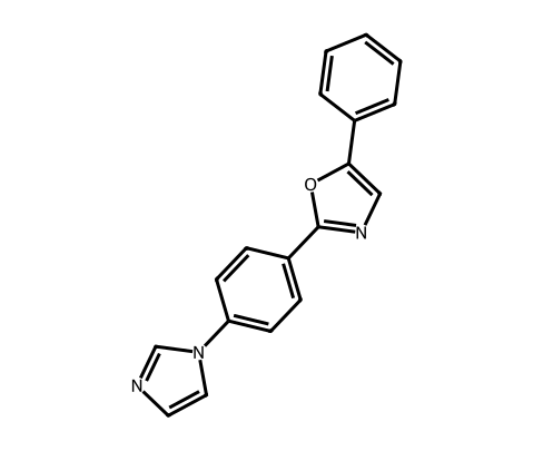 c1ccc(-c2cnc(-c3ccc(-n4ccnc4)cc3)o2)cc1